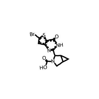 O=C(O)N1CC2CC2C1c1nc2cc(Br)sc2c(=O)[nH]1